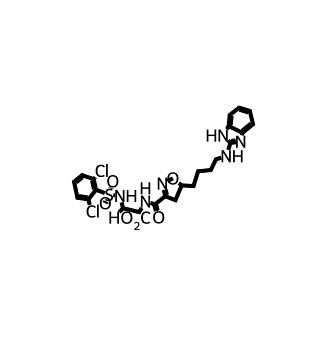 O=C(NCC(NS(=O)(=O)c1c(Cl)cccc1Cl)C(=O)O)C1=NOC(CCCCNc2nc3ccccc3[nH]2)C1